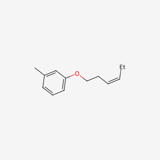 CC/C=C\CCOc1cccc(C)c1